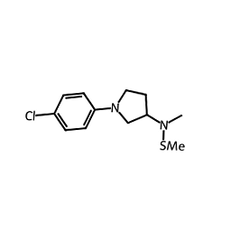 CSN(C)C1CCN(c2ccc(Cl)cc2)C1